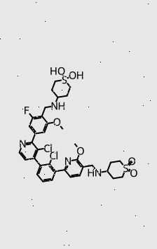 COc1cc(-c2nccc(-c3cccc(-c4ccc(CNC5CCS(=O)(=O)CC5)c(OC)n4)c3Cl)c2Cl)cc(F)c1CNC1CCS(O)(O)CC1